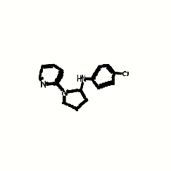 Clc1ccc(NC2CCCN2c2ccccn2)cc1